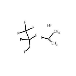 CC(C)I.F.FCC(F)(F)C(F)(F)F